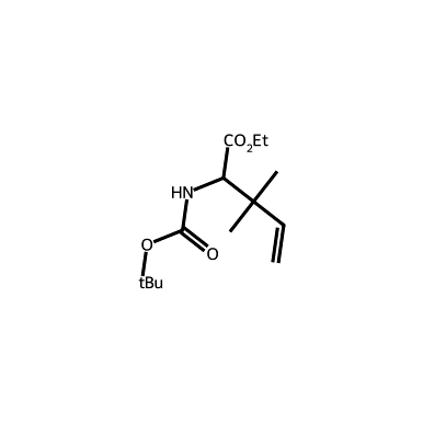 C=CC(C)(C)C(NC(=O)OC(C)(C)C)C(=O)OCC